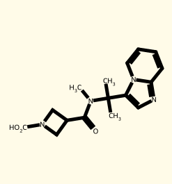 CN(C(=O)C1CN(C(=O)O)C1)C(C)(C)c1cnc2ccccn12